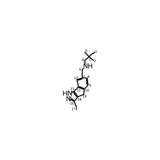 CC(C)(C)CNCc1ccc2c(c1)-c1[nH]nc(I)c1C2